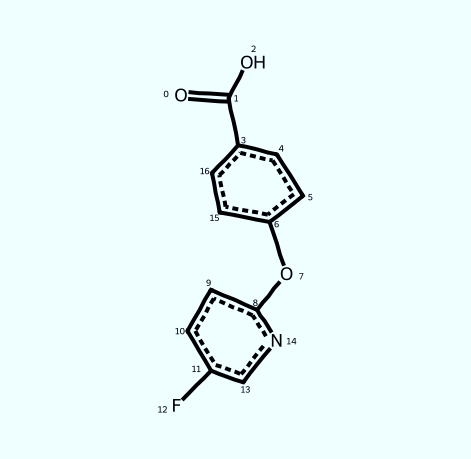 O=C(O)c1ccc(Oc2ccc(F)cn2)cc1